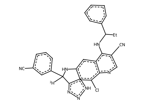 [2H]C(Nc1cc(Cl)c2ncc(C#N)c(NC(CC)c3ccccc3)c2c1)(c1cccc(C#N)c1)c1c[nH]nn1